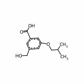 CC(C)COc1cc(CO)cc(C(=O)O)c1